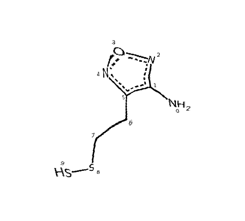 Nc1nonc1CCSS